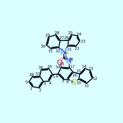 c1ccc2cc(-c3cc4sc5ccccc5c4c4nc(-n5c6ccccc6c6ccccc65)oc34)ccc2c1